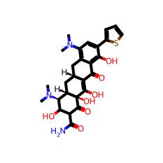 CN(C)c1cc(-c2cccs2)c(O)c2c1C[C@H]1C[C@H]3[C@H](N(C)C)C(O)C(C(N)=O)C(=O)[C@@]3(O)C(O)=C1C2=O